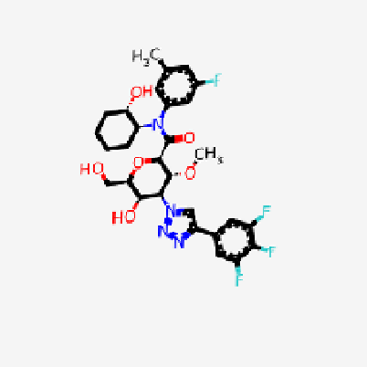 CO[C@@H]1[C@@H](n2cc(-c3cc(F)c(F)c(F)c3)nn2)[C@@H](O)[C@@H](CO)O[C@H]1C(=O)N(c1cc(C)cc(F)c1)[C@H]1CCCC[C@@H]1O